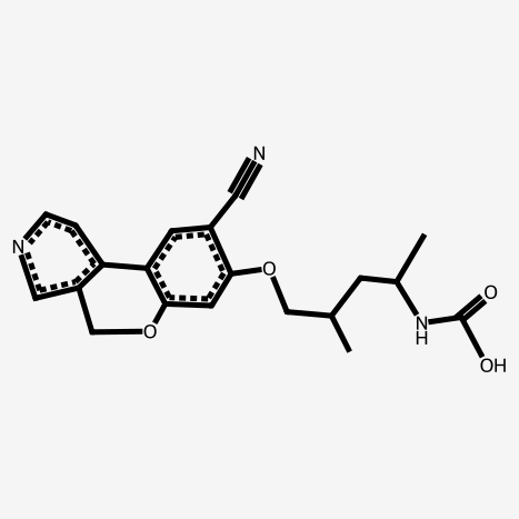 CC(COc1cc2c(cc1C#N)-c1ccncc1CO2)CC(C)NC(=O)O